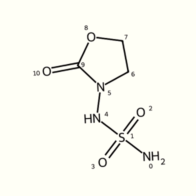 NS(=O)(=O)NN1CCOC1=O